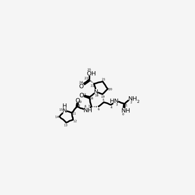 N=C(N)NCCC[C@H](NC(=O)C1CCCN1)C(=O)N1CCC[C@H]1C(=O)O